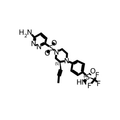 CC#C[C@H]1CN(S(=O)(=O)c2ccc(N)nn2)CCN1c1ccc([S@@](=N)(=O)C(F)(F)F)cc1